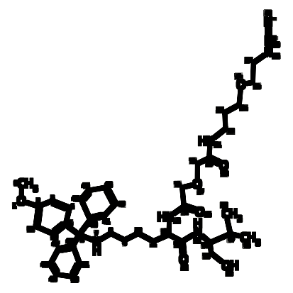 COc1ccc(C(NCCCCC(NC(=O)COCC(=O)NCCCOCCN=[N+]=[N-])C(=O)NC(CO)C(C)C)(c2ccccc2)c2ccccc2)cc1